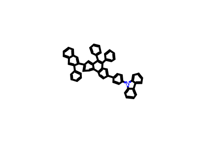 c1ccc(-c2cc3ccccc3cc2-c2ccc3c(c2)c(-c2ccccc2)c(-c2ccccc2)c2cc(-c4ccc(-n5c6ccccc6c6ccccc65)cc4)ccc23)cc1